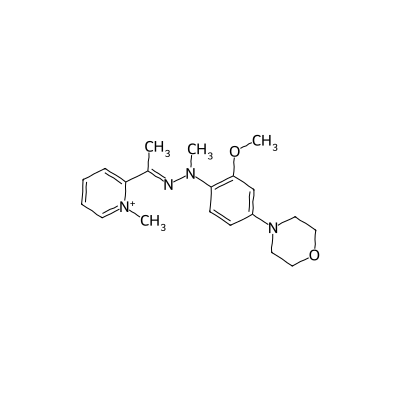 COc1cc(N2CCOCC2)ccc1N(C)/N=C(\C)c1cccc[n+]1C